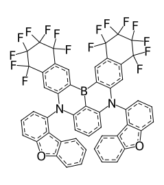 FC1(F)c2cc3c(cc2C(F)(F)C(F)(F)C1(F)F)N(c1cccc2oc4ccccc4c12)c1cccc2c1B3c1cc3c(cc1N2c1cccc2oc4ccccc4c12)C(F)(F)C(F)(F)C(F)(F)C3(F)F